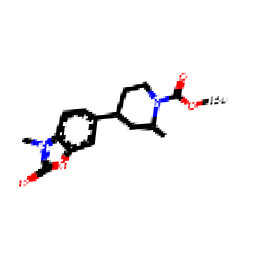 CC1CC(c2ccc3c(c2)oc(=O)n3C)CCN1C(=O)OC(C)(C)C